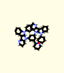 c1ccc(-n2c3ccccc3c3c4ncccc4n(-c4cc(-c5ccccn5)cc(-n5c6cccnc6c6c7ccccc7n(-c7ccccc7)c65)c4)c32)cc1